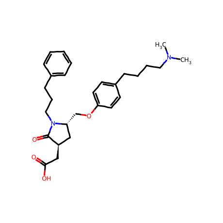 CN(C)CCCCc1ccc(OC[C@@H]2C[C@@H](CC(=O)O)C(=O)N2CCCc2ccccc2)cc1